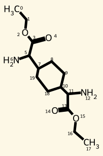 CCOC(=O)C(N)C1CCC(C(N)C(=O)OCC)CC1